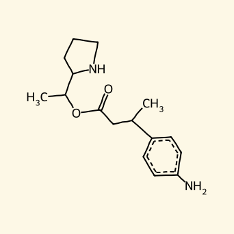 CC(CC(=O)OC(C)C1CCCN1)c1ccc(N)cc1